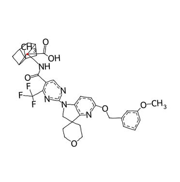 COc1cccc(COc2ccc3c(n2)C2(CCOCC2)CN3c2ncc(C(=O)NC3(C(=O)O)CC4CC5CC3CC54C)c(C(F)(F)F)n2)c1